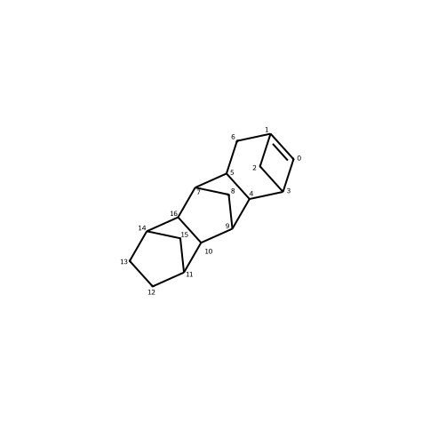 C1=C2CC1C1C(C2)C2CC1C1C3CCC(C3)C21